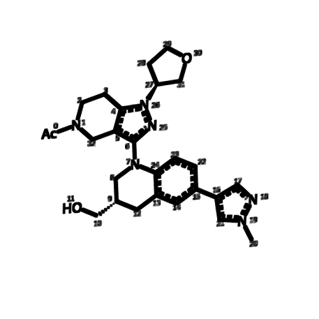 CC(=O)N1CCc2c(c(N3C[C@@H](CO)Cc4cc(-c5cnn(C)c5)ccc43)nn2[C@H]2CCOC2)C1